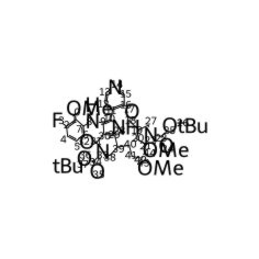 COc1c(F)cccc1Nc1c(-c2ccncc2OCC2CCN(C(=O)OC(C)(C)C)C2)[nH]c2c1C(=O)N(C(=O)OC(C)(C)C)CC2CCC(OC)OC